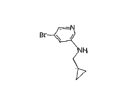 Brc1cncc(NC[C]2CC2)c1